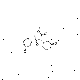 COC(=O)C(C1CCCC(=O)C1)S(=O)(=O)c1cccc(Cl)c1